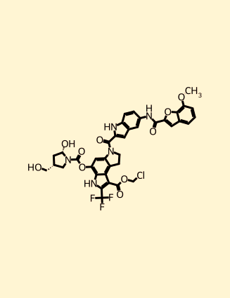 COc1cccc2cc(C(=O)Nc3ccc4[nH]c(C(=O)N5CCc6c5cc(OC(=O)N5C[C@H](CO)C[C@@H]5O)c5[nH]c(C(F)(F)F)c(C(=O)OCCl)c65)cc4c3)oc12